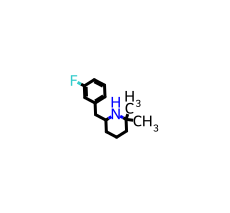 CC1(C)CCCC(Cc2cccc(F)c2)N1